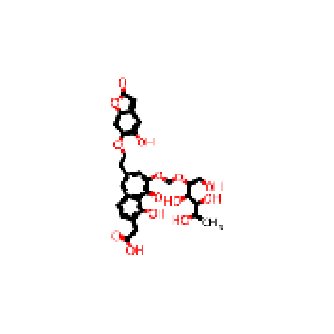 CC(O)C(O)C(O)C(CO)OCOc1cc(CCOC2CC3OC(=O)C=C3C=C2O)cc2ccc(CC(=O)O)c(O)c2c1=O